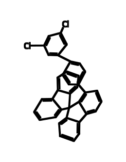 Clc1cc(Cl)cc(-c2ccc(-c3cccc4c3C3(c5ccccc5-c5ccccc53)c3ccccc3-4)cc2)c1